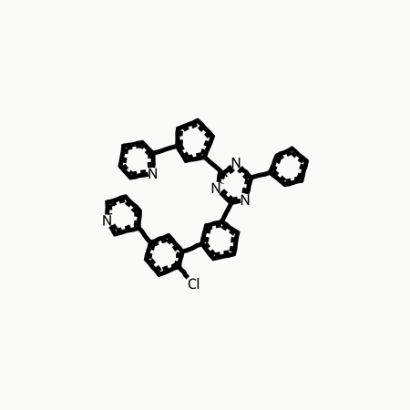 Clc1ccc(-c2cccnc2)cc1-c1cccc(-c2nc(-c3ccccc3)nc(-c3cccc(-c4ccccn4)c3)n2)c1